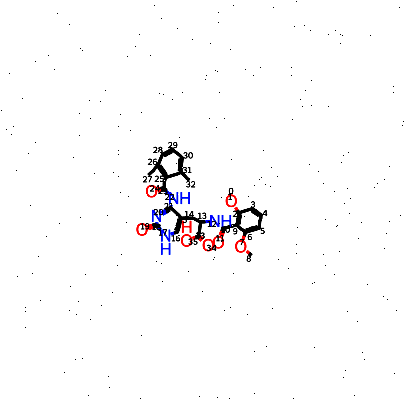 COc1cccc(OC)c1C(=O)NC(Cc1c[nH]c(=O)nc1NC(=O)c1c(C)cccc1C)C(=O)O